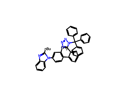 CCCCc1nc2ccccc2n1-c1ccc(-c2ccccc2-c2nnnn2C(c2ccccc2)(c2ccccc2)c2ccccc2)c(C)c1